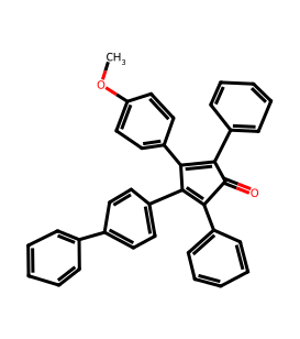 COc1ccc(C2=C(c3ccccc3)C(=O)C(c3ccccc3)=C2c2ccc(-c3ccccc3)cc2)cc1